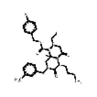 CCCC[C@H]1C(=O)N(Cc2cccc(C)c2)C[C@H]2N1C(=O)CN(CI)N2C(=O)NCc1ccc(F)cc1